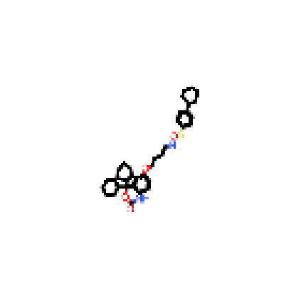 O=C1Nc2ccc(OCCCC=NOSc3ccc(C4CCCCC4)cc3)cc2C(C2CCCCC2)(C2CCCCC2)O1